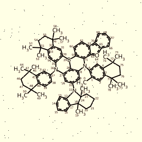 Cc1cc2c(cc1N1c3cc(N4c5ccccc5C5(C)CCCCC45C)cc4c3B(c3cc5c(cc3N4c3ccc4c(c3)C(C)(C)CCC4(C)C)C(C)(C)CCC5(C)C)c3ccc4c(oc5ccccc54)c31)C(C)(C)CCC2(C)C